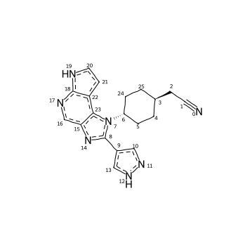 N#CC[C@H]1CC[C@H](n2c(-c3cn[nH]c3)nc3cnc4[nH]ccc4c32)CC1